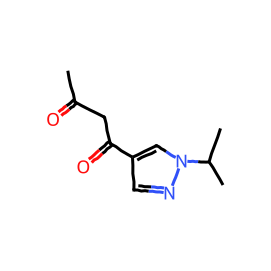 CC(=O)CC(=O)c1cnn(C(C)C)c1